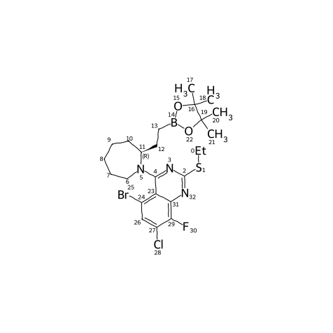 CCSc1nc(N2CCCCC[C@H]2CCB2OC(C)(C)C(C)(C)O2)c2c(Br)cc(Cl)c(F)c2n1